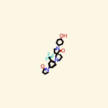 O=C1CCCN1c1ccc(N2CCC[C@]3(CCN([C@H]4CC[C@H](O)CC4)C3=O)C2)c(C(F)(F)F)c1